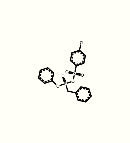 O=P(Cc1ccccc1)(Oc1ccccc1)OS(=O)(=O)c1ccc(Cl)cc1